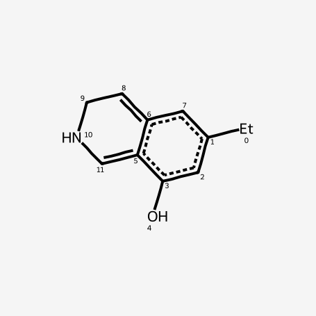 CCc1cc(O)c2c(c1)=CCNC=2